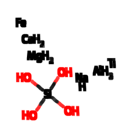 O[Si](O)(O)O.[AlH3].[CaH2].[Fe].[MgH2].[NaH].[Ti]